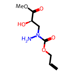 C=CCOC(=O)N(N)C[C@@H](O)C(=O)OC